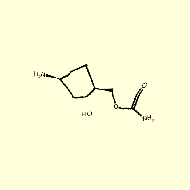 Cl.NC(=O)OC[C@H]1CC[C@@H](N)CC1